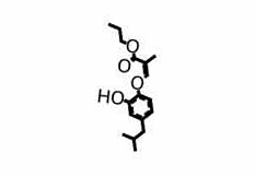 CCCOC(=O)C(C)=COc1ccc(CC(C)C)cc1O